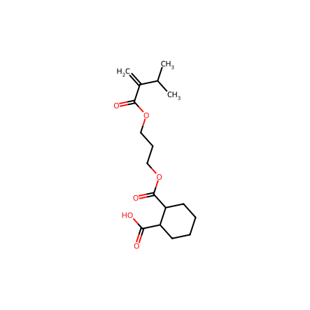 C=C(C(=O)OCCCOC(=O)C1CCCCC1C(=O)O)C(C)C